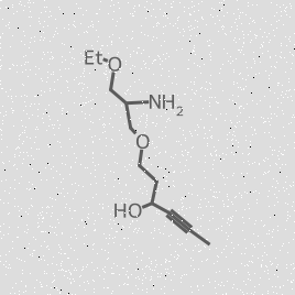 CC#CC(O)CCOCC(N)COCC